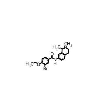 CCOc1ccc(C(=O)Nc2ccc3c(c2)C(C)N(C)CC3)cc1Br